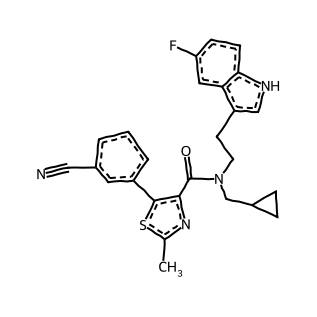 Cc1nc(C(=O)N(CCc2c[nH]c3ccc(F)cc23)CC2CC2)c(-c2cccc(C#N)c2)s1